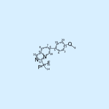 COc1ccc(-c2ccc3cnc(C(C)(F)F)n3c2)cc1